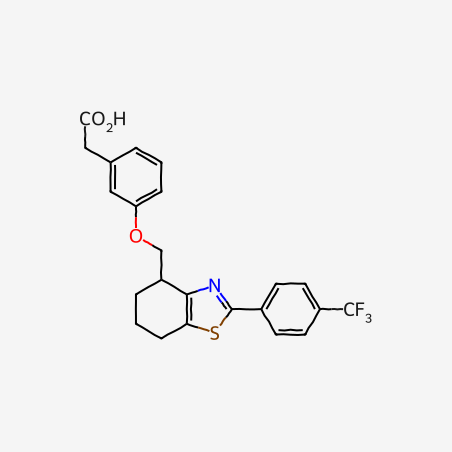 O=C(O)Cc1cccc(OCC2CCCc3sc(-c4ccc(C(F)(F)F)cc4)nc32)c1